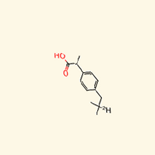 [2H]C(C)(C)Cc1ccc(C(C)C(=O)O)cc1